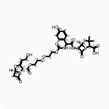 CC1(C)S[C@@H]2[C@H](NC(=O)C(NC(=O)OCCSSCCOC(=O)[C@H]3/C(=C\CO)O[C@@H]4CC(=O)N43)c3ccc(O)cc3)C(=O)N2C1C(=O)O